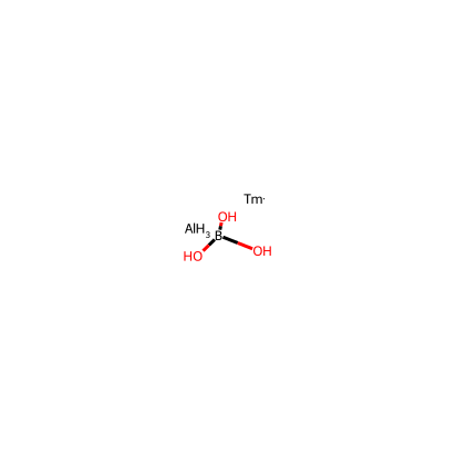 OB(O)O.[AlH3].[Tm]